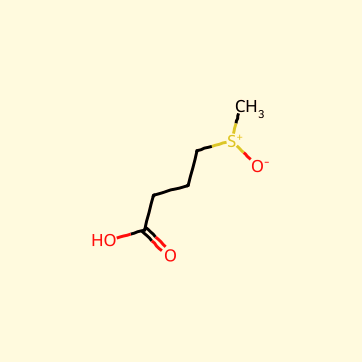 C[S+]([O-])CCCC(=O)O